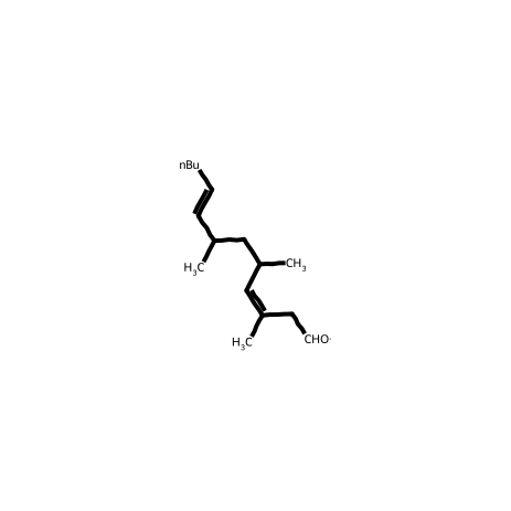 CCCCC=CC(C)CC(C)C=C(C)C[C]=O